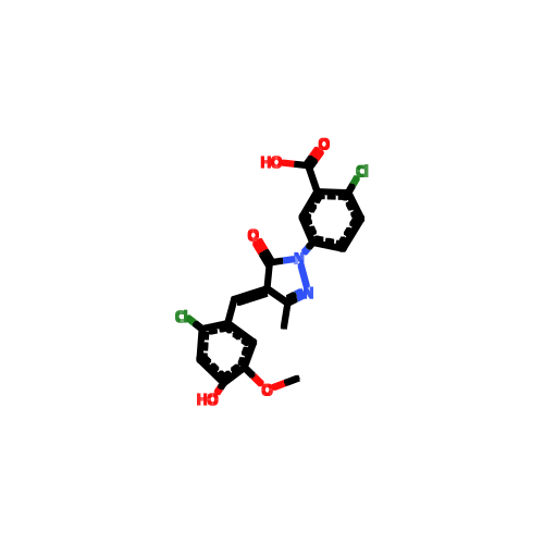 COc1cc(/C=C2/C(=O)N(c3ccc(Cl)c(C(=O)O)c3)N=C2C)c(Cl)cc1O